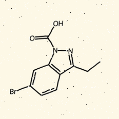 CCc1nn(C(=O)O)c2cc(Br)ccc12